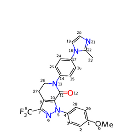 COc1ccc(-n2nc(C(F)(F)F)c3c2C(=O)N(c2ccc(-n4ccnc4C)cc2)CC3)cc1